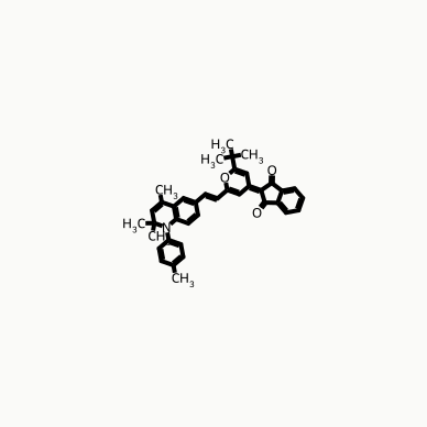 CC1=CC(C)(C)N(c2ccc(C)cc2)c2ccc(C=CC3=CC(=C4C(=O)c5ccccc5C4=O)C=C(C(C)(C)C)O3)cc21